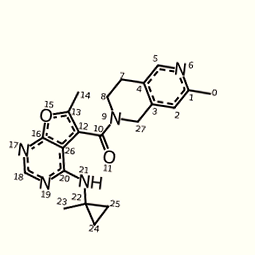 Cc1cc2c(cn1)CCN(C(=O)c1c(C)oc3ncnc(NC4(C)CC4)c13)C2